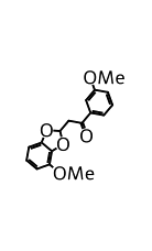 COc1cccc(C(=O)CC2Oc3cccc(OC)c3O2)c1